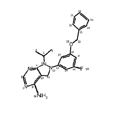 CC(C)N1c2ncnc(N)c2CN1c1cc(F)cc(OCc2ccccc2)c1